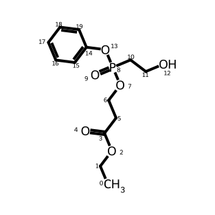 CCOC(=O)CCOP(=O)(CCO)Oc1ccccc1